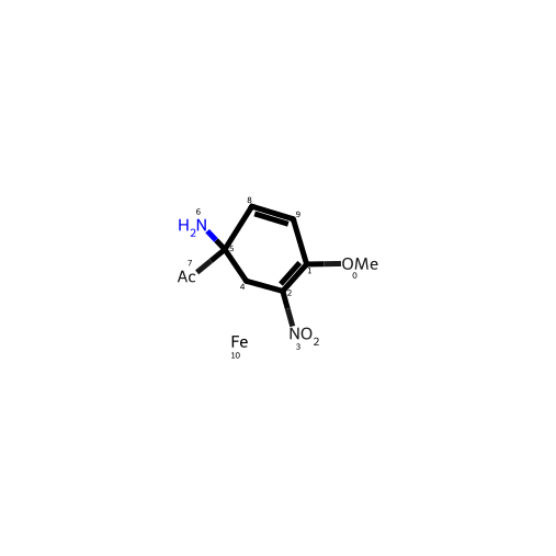 COC1=C([N+](=O)[O-])CC(N)(C(C)=O)C=C1.[Fe]